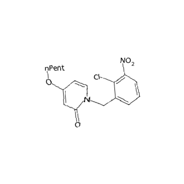 CCCCCOc1ccn(Cc2cccc([N+](=O)[O-])c2Cl)c(=O)c1